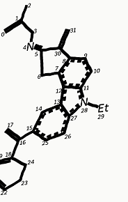 C=C(C)C/N=C1/Cc2c(ccc3c2c2cc(C(=C)C4=C(C)C=CCC4)ccc2n3CC)C1=C